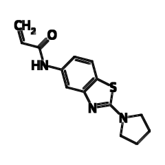 C=CC(=O)Nc1ccc2sc(N3CCCC3)nc2c1